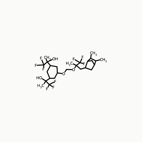 CC1C2CC(CC(C)(OCOC3CC(C(C)(O)C(F)(F)F)CC(C(C)(O)C(F)(F)F)C3)C(F)(F)F)C(C2)C1C